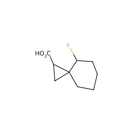 O=C(O)C1CC12CCCCC2F